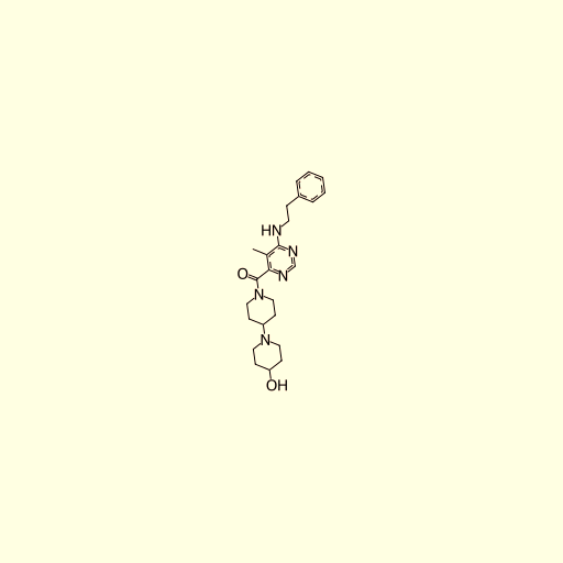 Cc1c(NCCc2ccccc2)ncnc1C(=O)N1CCC(N2CCC(O)CC2)CC1